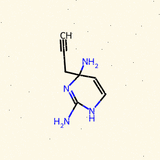 C#CCC1(N)C=CNC(N)=N1